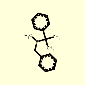 CB(Cc1ccccc1)C(C)(C)c1ccccc1